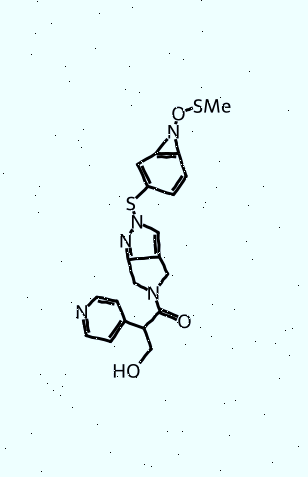 CSON1c2ccc(Sn3cc4c(n3)CN(C(=O)C(CO)c3ccncc3)C4)cc21